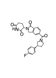 O=C1CCC(N2Cc3cc(C(=O)N4CC[C@@H](c5ccc(F)cc5)C4)ccc3C2=O)C(=O)N1